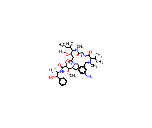 CCC(C)C(C(CC(=O)N1CCCC1C(OC)C(C)C(=O)NC(C)C(O)c1ccccc1)OC)N(C)C(=O)CNC(=O)C(C(C)C)N(C)Cc1cccc(N)c1